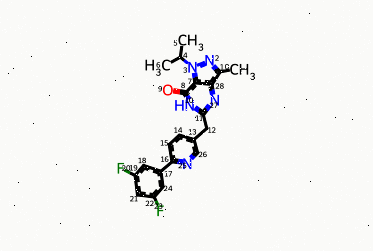 Cc1nn(C(C)C)c2c(=O)[nH]c(Cc3ccc(-c4cc(F)cc(F)c4)nc3)nc12